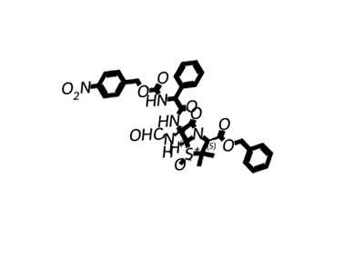 CC1(C)[C@H](C(=O)OCc2ccccc2)N2C(=O)[C@@](NC=O)(NC(=O)C(NC(=O)OCc3ccc([N+](=O)[O-])cc3)c3ccccc3)[C@H]2[S+]1[O-]